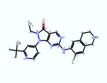 CC(C)(C#N)c1cc(-n2c3nc(Nc4cc5c(cc4F)CNCC5)ncc3c(=O)n2CC(F)(F)F)ccn1